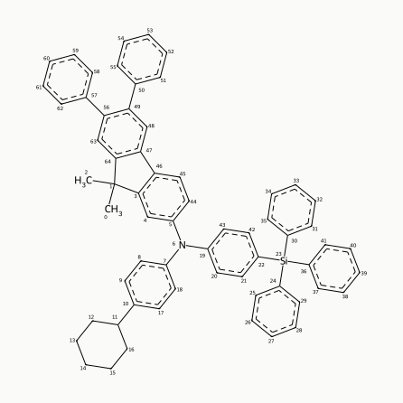 CC1(C)c2cc(N(c3ccc(C4CCCCC4)cc3)c3ccc([Si](c4ccccc4)(c4ccccc4)c4ccccc4)cc3)ccc2-c2cc(-c3ccccc3)c(-c3ccccc3)cc21